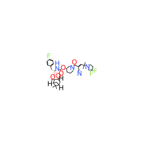 CC1(C)[C@@H]2C[C@H]3OB([C@H](Cc4ccc(F)cc4)NC(=O)O[C@H]4CCCN(C(=O)/C(C#N)=C/C(C)(C)N5CCC(F)(F)C5)C4)O[C@@]3(C)[C@H]1C2